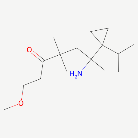 COCCC(=O)C(C)(C)CC(C)(N)C1(C(C)C)CC1